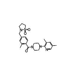 Cc1cnc(N2CCN(C(=O)c3ccc(CN4CCCS4(=O)=O)cc3C)CC2)c(C)c1